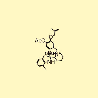 C=C(C)COc1cc(C[N+]2(CCCC)CCCCC2C(=O)Nc2c(C)cccc2C)ccc1OC(C)=O